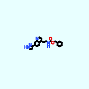 O=C(NCCc1ccnc2cc(-c3cc[nH]n3)ccc12)OCc1ccccc1